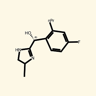 CCCc1cc(F)ccc1[C@@H](O)C1=NC(C)CN1